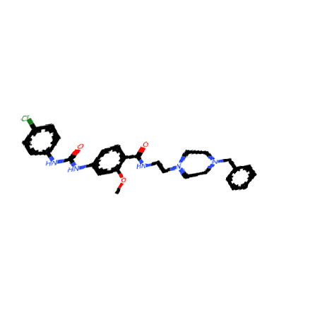 COc1cc(NC(=O)Nc2ccc(Cl)cc2)ccc1C(=O)NCCN1CCN(Cc2ccccc2)CC1